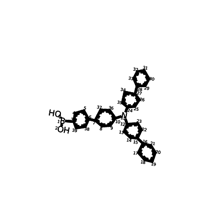 OB(O)c1ccc(-c2ccc(N(c3ccc(-c4ccccc4)cc3)c3ccc(-c4ccccc4)cc3)cc2)cc1